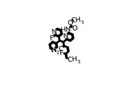 C=C(/C=C\C(F)=C/C)C(c1cccc(NC(=O)OC)n1)C(c1cccnc1)c1cccnc1F